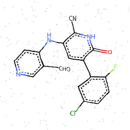 N#Cc1[nH]c(=O)c(-c2cc(Cl)ccc2F)cc1Nc1ccncc1C=O